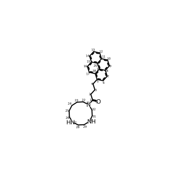 O=C(CCCc1ccc2ccc3cccc4ccc1c2c34)N1CCCCCNCCNCC1